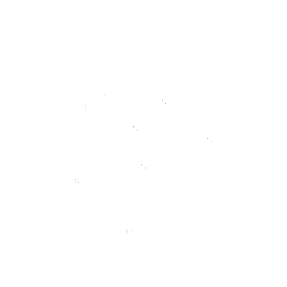 Cc1noc2nc(C3C=CC=CC3(F)Cl)nc(Nc3ccncc3C(=O)O)c12